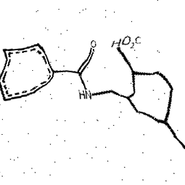 O=C(NC1CC(I)CCC1C(=O)O)c1ccccc1